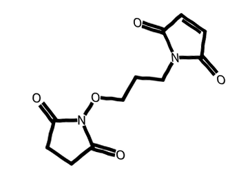 O=C1C=CC(=O)N1CCCON1C(=O)CCC1=O